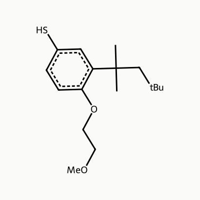 COCCOc1ccc(S)cc1C(C)(C)CC(C)(C)C